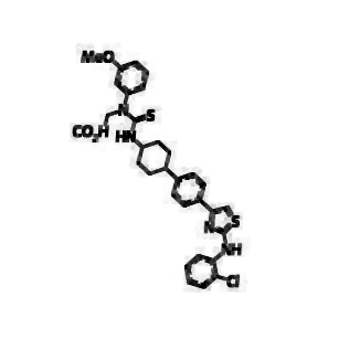 COc1cccc(N(CC(=O)O)C(=S)NC2CCC(c3ccc(-c4csc(Nc5ccccc5Cl)n4)cc3)CC2)c1